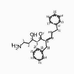 NCCC(O)CC(=O)C(=CCCc1ccccc1)Cc1ccccc1